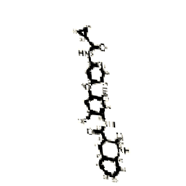 O=C(Nc1cc(Oc2cc(F)c(NC(=O)C3Cc4ccccc4NC3=O)cc2F)ccn1)C1CC1